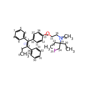 CC/C(=C(\c1ccccc1)c1ccc(OCCN(C)C(CC)(CC)CI)cc1)c1ccccc1